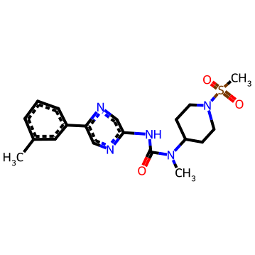 Cc1cccc(-c2cnc(NC(=O)N(C)C3CCN(S(C)(=O)=O)CC3)cn2)c1